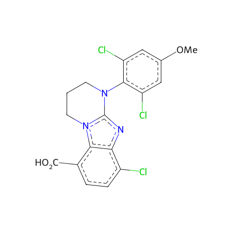 COc1cc(Cl)c(N2CCCn3c2nc2c(Cl)ccc(C(=O)O)c23)c(Cl)c1